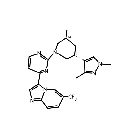 Cc1nn(C)cc1[C@H]1C[C@H](C)CN(c2nccc(-c3cnc4ccc(C(F)(F)F)cn34)n2)C1